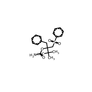 CC(C)(C)C(Cc1ccccc1)(CS(=O)(=O)c1ccccc1)OC(N)=O